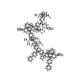 CC(C)(C)c1ccc(N(c2ccc([Si](C)(C)C)cc2)c2ccc3c(c2)C(C)(C)c2cc(N(c4ccc(C(C)(C)C)cc4)c4ccc([Si](C)(C)CCC(C)(C)c5ccc(N(c6ccc(-c7ccccc7)cc6)c6ccc7c(c6)C6(C=CC=C6)c6cc(N(c8ccc(-c9ccccc9)cc8)c8ccc(C(C)(C)C)cc8)c8c(oc9ccccc98)c6-7)cc5)cc4)c4c(oc5ccccc54)c2-3)cc1